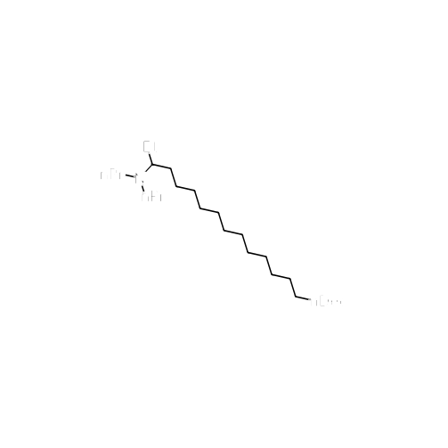 CCCCCCCCCCCCCCCCCCCCCCC(CC)N(CCC)CCC